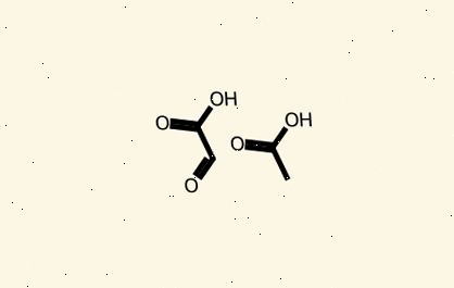 CC(=O)O.O=CC(=O)O